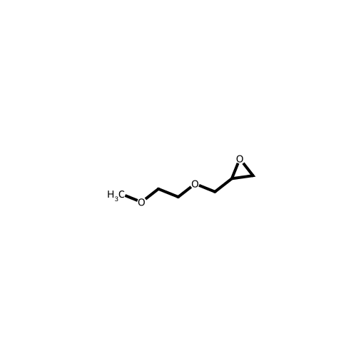 COCCOCC1CO1